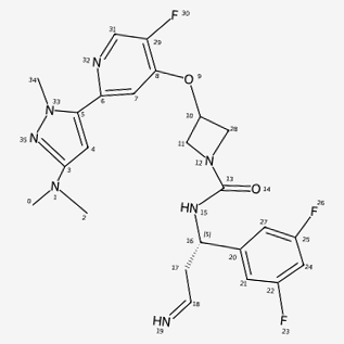 CN(C)c1cc(-c2cc(OC3CN(C(=O)N[C@@H](CC=N)c4cc(F)cc(F)c4)C3)c(F)cn2)n(C)n1